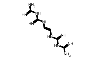 N=C(N)NC(=N)NC=CNC(=N)NC(=N)N